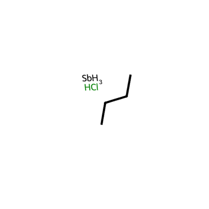 CCCC.Cl.[SbH3]